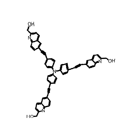 OCc1ccc2cc(C#Cc3ccc(N(c4ccc(C#Cc5ccc6nc(CO)ccc6c5)cc4)c4ccc(C#Cc5ccc6nc(CO)ccc6c5)cc4)cc3)ccc2n1